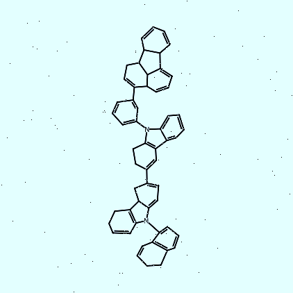 C1=CC2C3=CC=CC4C(c5cccc(-n6c7c(c8ccccc86)C=C(C6=CC=C8C(C6)C6=C(C=CCC6)N8c6cccc8c6C=CCC8)CC7)c5)=CCC(C2C=C1)C34